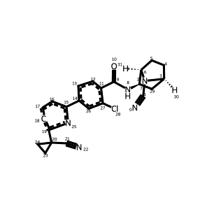 N#CN1[C@H]2CC[C@@H]1[C@H](NC(=O)c1ccc(-c3cccc(C4(C#N)CC4)n3)cc1Cl)C2